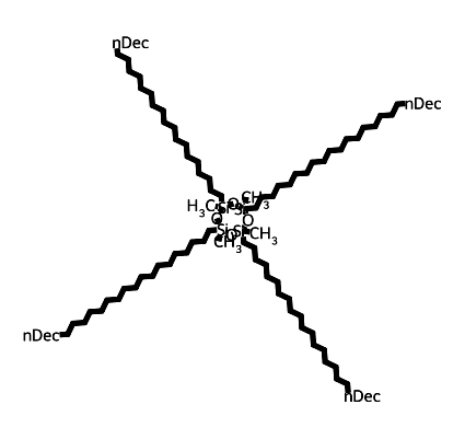 CCCCCCCCCCCCCCCCCCCCCCCCCCCC[Si]1(C)O[Si](C)(CCCCCCCCCCCCCCCCCCCCCCCCCCCC)O[Si](C)(CCCCCCCCCCCCCCCCCCCCCCCCCCCC)O[Si](C)(CCCCCCCCCCCCCCCCCCCCCCCCCCCC)O1